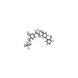 COc1cc(N2CCC(Oc3ccc(-c4ccccc4F)cc3)C2=O)ccc1OCCS(C)(=O)=O